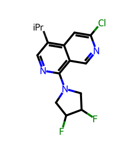 CC(C)c1cnc(N2CC(F)C(F)C2)c2cnc(Cl)cc12